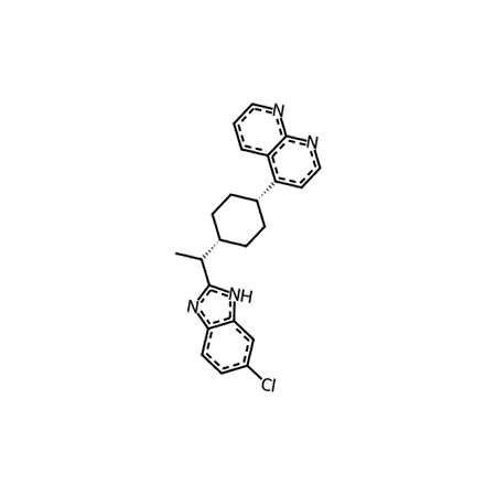 CC(c1nc2ccc(Cl)cc2[nH]1)[C@H]1CC[C@@H](c2ccnc3ncccc32)CC1